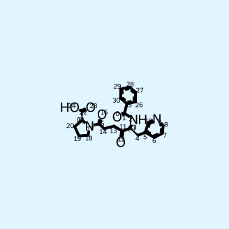 O=C(N[C@@H](Cc1cccnc1)C(=O)CCC(=O)N1CCC[C@H]1C(=O)O)c1ccccc1